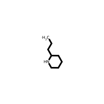 [CH2]CCC1CCCCN1